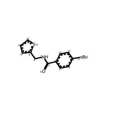 CCCCc1ccc(C(=O)NCc2cccs2)cc1